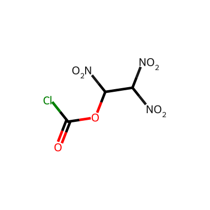 O=C(Cl)OC(C([N+](=O)[O-])[N+](=O)[O-])[N+](=O)[O-]